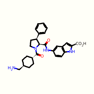 NC[C@H]1CC[C@H](C(=O)N2CC[C@@H](c3ccccc3)[C@H]2C(=O)Nc2ccc3[nH]c(C(=O)O)cc3c2)CC1